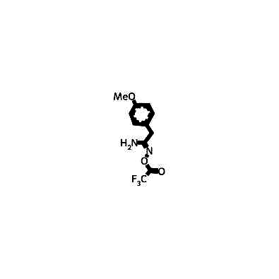 COc1ccc(C/C(N)=N/OC(=O)C(F)(F)F)cc1